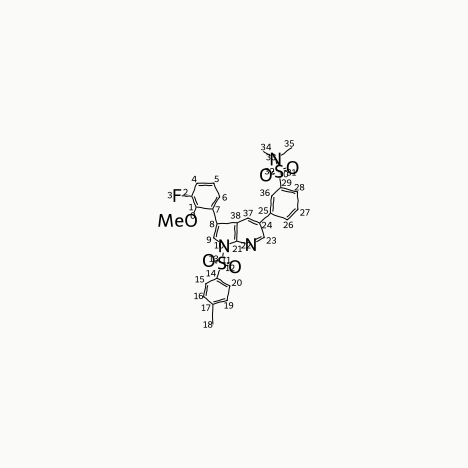 COc1c(F)cccc1-c1cn(S(=O)(=O)c2ccc(C)cc2)c2ncc(-c3cccc(S(=O)(=O)N(C)C)c3)cc12